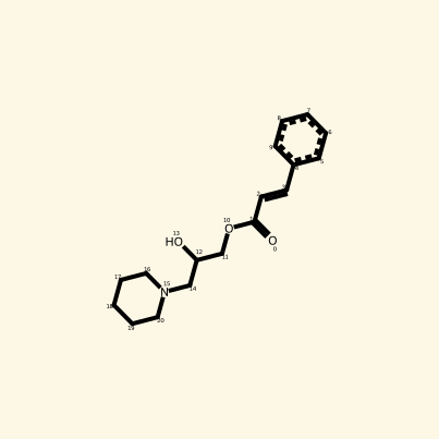 O=C(C=Cc1ccccc1)OCC(O)CN1CCCCC1